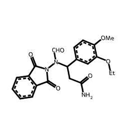 CCOc1cc(C(CC(N)=O)N(C=O)N2C(=O)c3ccccc3C2=O)ccc1OC